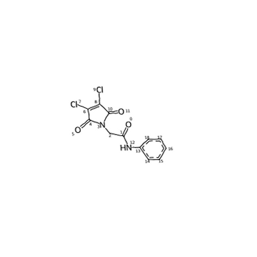 O=C(CN1C(=O)C(Cl)=C(Cl)C1=O)Nc1ccccc1